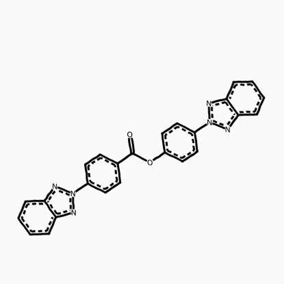 O=C(Oc1ccc(-n2nc3ccccc3n2)cc1)c1ccc(-n2nc3ccccc3n2)cc1